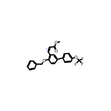 COC(=O)/C=C\c1cc(-c2ccc(OC(F)(F)F)cc2)ccc1OCc1ccccc1